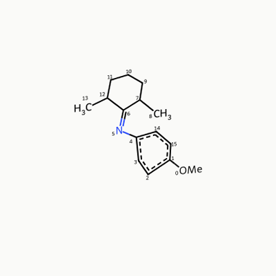 COc1ccc(N=C2C(C)CCCC2C)cc1